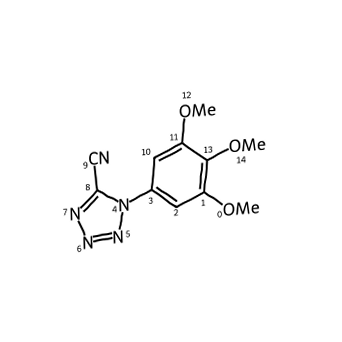 COc1cc(-n2nnnc2C#N)cc(OC)c1OC